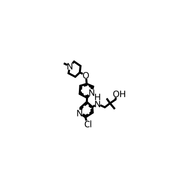 CN1CCC(Oc2ccc(-c3cnc(Cl)cc3NCC(C)(C)CO)nc2)CC1